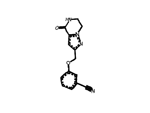 N#Cc1cccc(OCc2cc3n(n2)CCNC3=O)c1